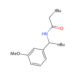 CCCCC(NC(=O)CC(C)(C)C)c1cccc(OC)c1